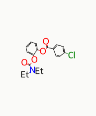 CCN(CC)C(=O)Oc1ccccc1OC(=O)c1ccc(Cl)cc1